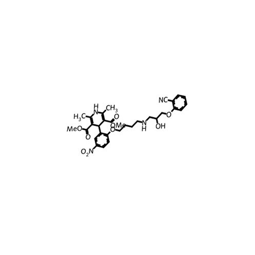 COC(=O)C1=C(C)NC(C)=C(C(=O)OC)C1c1cc([N+](=O)[O-])ccc1OCCCCNCC(O)COc1ccccc1C#N